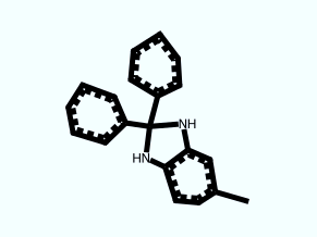 Cc1ccc2c(c1)NC(c1ccccc1)(c1ccccc1)N2